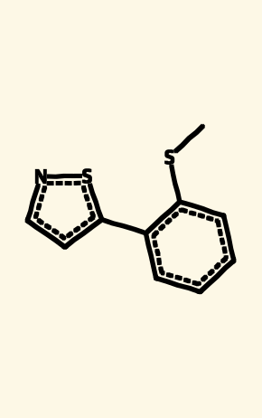 CSc1ccccc1-c1ccns1